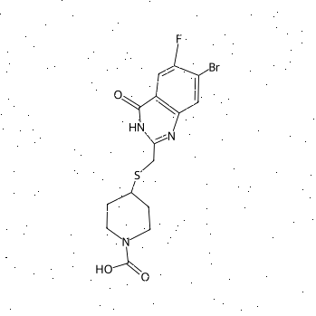 O=C(O)N1CCC(SCc2nc3cc(Br)c(F)cc3c(=O)[nH]2)CC1